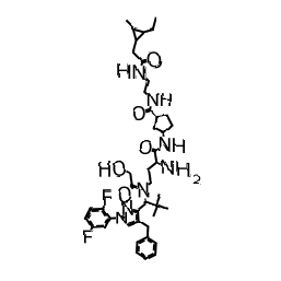 CCC1C(C)C1CC(=O)NCCNC(=O)[C@H]1CC[C@@H](NC(=O)[C@@H](N)CCN(C(=O)CO)[C@@H](c2nn(-c3cc(F)ccc3F)cc2Cc2ccccc2)C(C)(C)C)C1